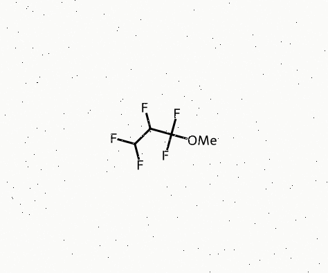 COC(F)(F)[C](F)C(F)F